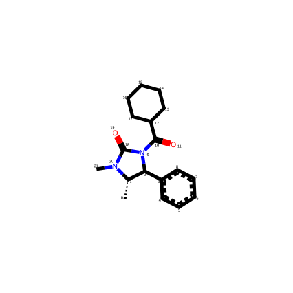 C[C@H]1C(c2ccccc2)N(C(=O)C2CCCCC2)C(=O)N1C